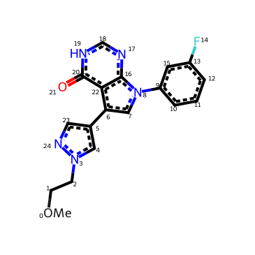 COCCn1cc(-c2cn(-c3cccc(F)c3)c3nc[nH]c(=O)c23)cn1